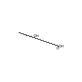 CCCCCC=CCC=CCC(O)CCCCCCCCCCCCCCCCC(=O)O